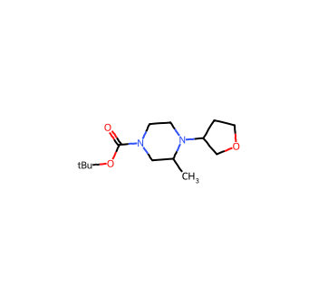 CC1CN(C(=O)OC(C)(C)C)CCN1C1CCOC1